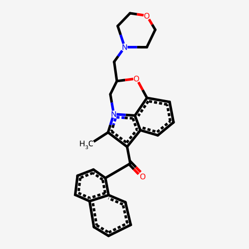 Cc1c(C(=O)c2cccc3ccccc23)c2cccc3c2n1CC(CN1CCOCC1)O3